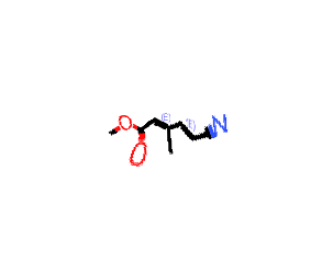 COC(=O)/C=C(C)/C=C/C#N